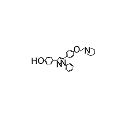 Oc1ccc(-c2cc(-c3ccc(OCCN4CCCCC4)cc3)n(-c3ccccc3)n2)cc1